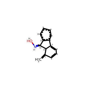 C=C1C=CC=C2c3ccccc3C(=NO)C12